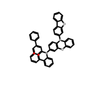 c1ccc(-c2cccc(N(c3ccc4c(c3)Oc3ccccc3N4c3ccc4c(c3)oc3ccccc34)c3ccccc3-c3ccccc3)c2)cc1